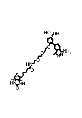 Cc1nnc(N)c2ccc(-c3cc(B(O)O)ccc3OCCOCCOCCNC(=O)CCCC[C@@H]3SC[C@@H]4NC(=O)N[C@@H]43)cc12